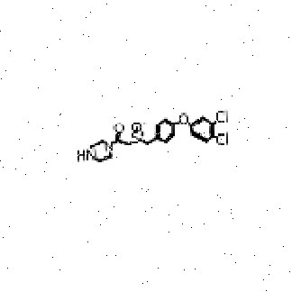 O=C(C[S+]([O-])Cc1ccc(Oc2ccc(Cl)c(Cl)c2)cc1)N1CCNCC1